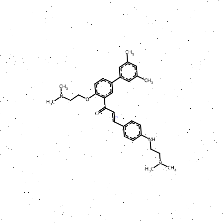 Cc1cc(C)cc(-c2ccc(OCCN(C)C)c(C(=O)/C=C/c3ccc(NCCN(C)C)cc3)c2)c1